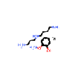 NCCCCNCCCN.NOc1ccccc1O.[Fe]